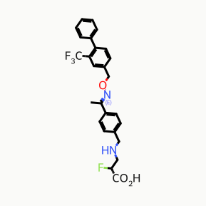 C/C(=N\OCc1ccc(-c2ccccc2)c(C(F)(F)F)c1)c1ccc(CNCC(F)C(=O)O)cc1